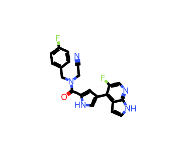 N#CCN(Cc1ccc(F)cc1)C(=O)c1cc(-c2c(F)cnc3[nH]ccc23)c[nH]1